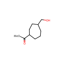 COC(=O)C1CCCC(CO)CC1